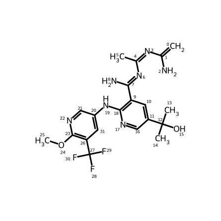 C=C(N)/N=C(C)\N=C(/N)c1cc(C(C)(C)O)cnc1Nc1cnc(OC)c(C(F)(F)F)c1